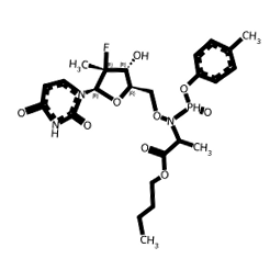 CCCCOC(=O)C(C)N(OC[C@H]1O[C@@H](n2ccc(=O)[nH]c2=O)[C@](C)(F)[C@@H]1O)[PH](=O)Oc1ccc(C)cc1